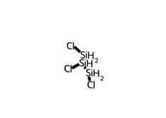 Cl[SiH2][SiH](Cl)[SiH2]Cl